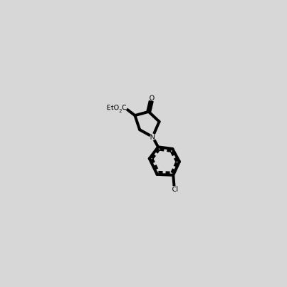 CCOC(=O)C1CN(c2ccc(Cl)cc2)CC1=O